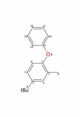 Cc1cc(C(C)(C)C)ccc1Oc1ccccc1